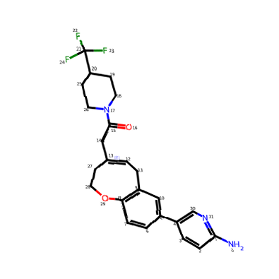 Nc1ccc(-c2ccc3c(c2)C/C=C(/CC(=O)N2CCC(C(F)(F)F)CC2)CCO3)cn1